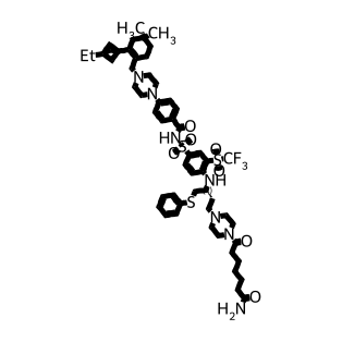 CCC12CC(C3=C(CN4CCN(c5ccc(C(=O)NS(=O)(=O)c6ccc(N[C@H](CCN7CCN(C(=O)CCCCCC(N)=O)CC7)CSc7ccccc7)c(S(=O)(=O)C(F)(F)F)c6)cc5)CC4)CCC(C)(C)C3)(C1)C2